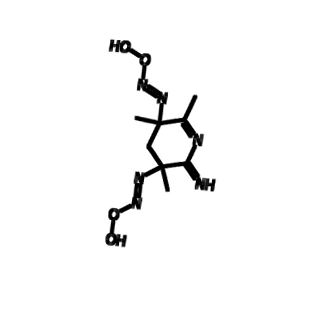 CC1=NC(=N)C(C)(/N=N/OO)CC1(C)/N=N/OO